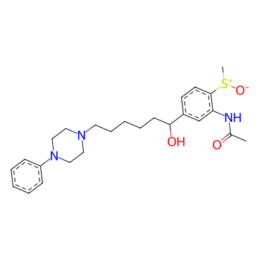 CC(=O)Nc1cc(C(O)CCCCCN2CCN(c3ccccc3)CC2)ccc1[S+](C)[O-]